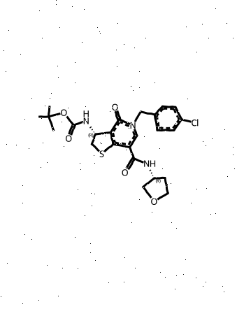 CC(C)(C)OC(=O)N[C@H]1CSc2c(C(=O)N[C@@H]3CCOC3)cn(Cc3ccc(Cl)cc3)c(=O)c21